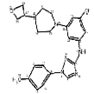 CCc1cc(Nc2ncn(-c3ccc(C)cc3)n2)cc(N2CCN(C3COC3)CC2)c1